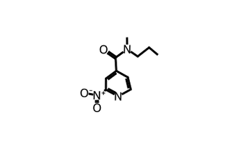 CCCN(C)C(=O)c1ccnc([N+](=O)[O-])c1